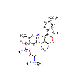 Cc1cc(NC(=C2C(=O)Nc3cc(C(=O)O)ccc32)c2ccccc2)ccc1C(=O)N(C)OCCN(C)C